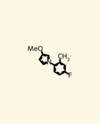 [CH2]c1cc(F)ccc1-n1ccc(OC)c1